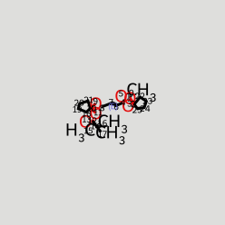 COC1(OC(=O)/C=C/COC2(OC(=O)C(C)(C)C)CCCC2)CCCC1